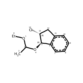 CCOC(C)O[C@@H]1c2ccccc2C[C@H]1Cl